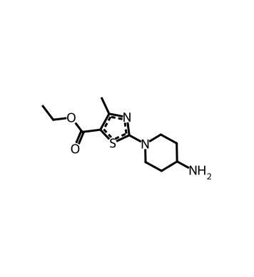 CCOC(=O)c1sc(N2CCC(N)CC2)nc1C